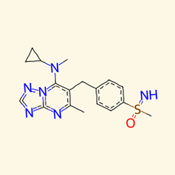 Cc1nc2ncnn2c(N(C)C2CC2)c1Cc1ccc(S(C)(=N)=O)cc1